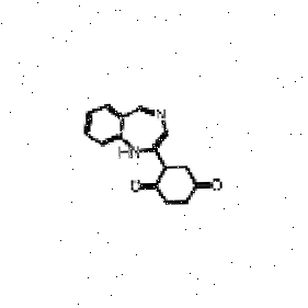 O=C1CCC(=O)C(C2=CN=Cc3ccccc3N2)C1